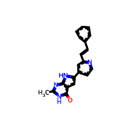 Cc1nc2[nH]c(-c3ccnc(/C=C/c4ccccc4)c3)cc2c(=O)[nH]1